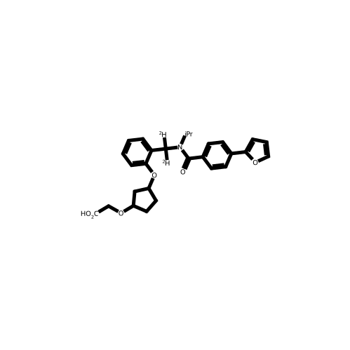 [2H]C([2H])(c1ccccc1OC1CCC(OCC(=O)O)C1)N(C(=O)c1ccc(-c2ccco2)cc1)C(C)C